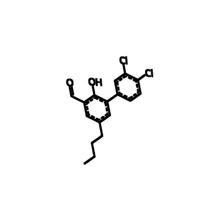 CCCCc1cc(C=O)c(O)c(-c2ccc(Cl)c(Cl)c2)c1